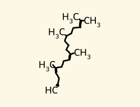 C#CCC=C(C)CCC=C(C)CCCC(C)CCC=C(C)C